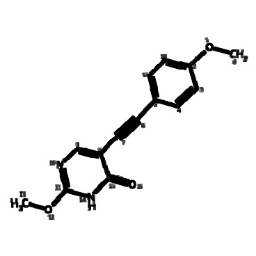 COc1ccc(C#Cc2cnc(OC)[nH]c2=O)cc1